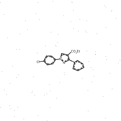 CCOC(=O)c1cn(-c2ccc(Cl)cc2)nc1-c1ccccc1